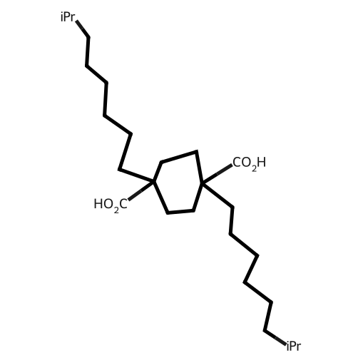 CC(C)CCCCCCC1(C(=O)O)CCC(CCCCCCC(C)C)(C(=O)O)CC1